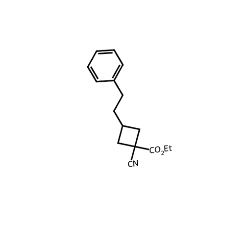 CCOC(=O)C1(C#N)CC(CCc2ccccc2)C1